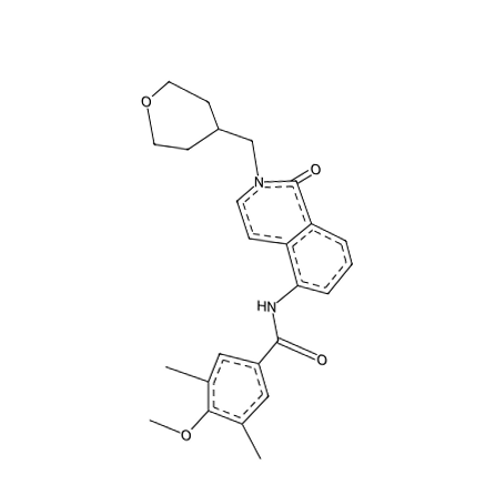 COc1c(C)cc(C(=O)Nc2cccc3c(=O)n(CC4CCOCC4)ccc23)cc1C